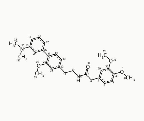 COc1ccc(CC(=O)NCCc2ccc(-c3cccc(N(C)C)c3)c(OC)c2)cc1OC